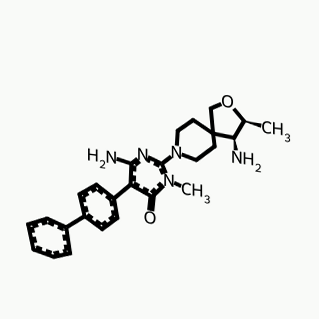 C[C@@H]1OCC2(CCN(c3nc(N)c(-c4ccc(-c5ccccc5)cc4)c(=O)n3C)CC2)[C@@H]1N